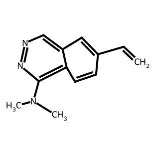 C=Cc1ccc2c(N(C)C)nncc2c1